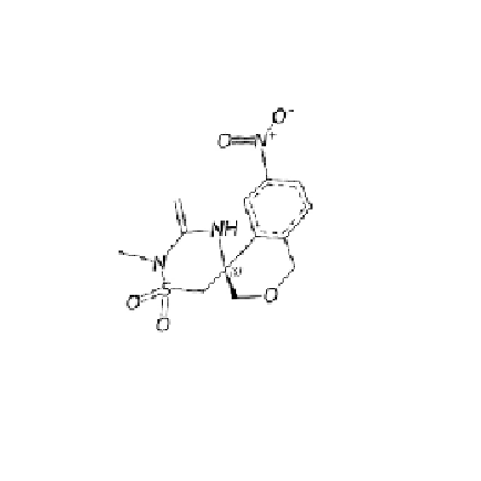 C=C1N[C@@]2(COCc3ccc([N+](=O)[O-])cc32)CS(=O)(=O)N1C